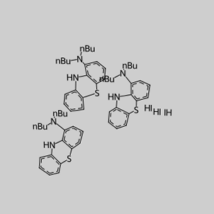 CCCCN(CCCC)c1cccc2c1Nc1ccccc1S2.CCCCN(CCCC)c1cccc2c1Nc1ccccc1S2.CCCCN(CCCC)c1cccc2c1Nc1ccccc1S2.I.I.I